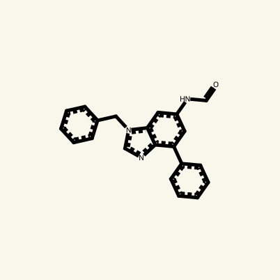 O=CNc1cc(-c2ccccc2)c2ncn(Cc3ccccc3)c2c1